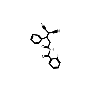 N#CC(C#N)C(CC(=O)NC(=O)c1ccccc1F)c1ccccc1